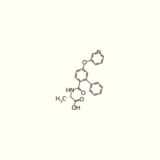 C[C@H](NC(=O)c1ccc(Oc2cccnc2)cc1-c1ccccc1)C(=O)O